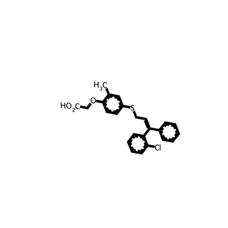 Cc1cc(SC/C=C(/c2ccccc2)c2ccccc2Cl)ccc1OCC(=O)O